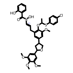 COc1cc(C2COC(c3cc(OC)c(OC)c(OC)c3)C2)cc(C/C=C/N(O)C(=O)c2ccccc2O)c1OC(C)Sc1ccc(Cl)cc1